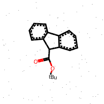 CC(C)(C)OC(=O)C1c2ccccc2-c2ccccc21